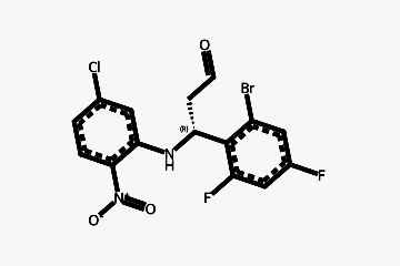 O=CC[C@@H](Nc1cc(Cl)ccc1[N+](=O)[O-])c1c(F)cc(F)cc1Br